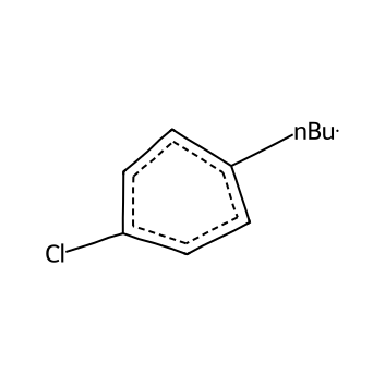 CCC[CH]c1ccc(Cl)cc1